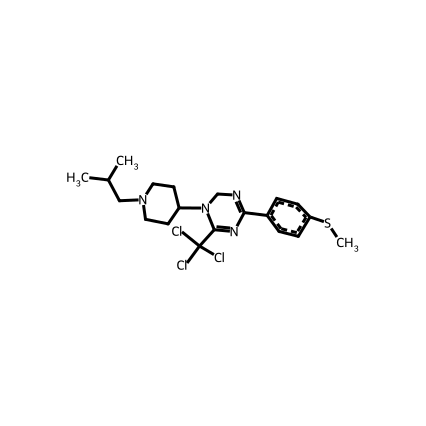 CSc1ccc(C2=NCN(C3CCN(CC(C)C)CC3)C(C(Cl)(Cl)Cl)=N2)cc1